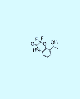 C[C@H](O)c1cccc2c1OC(F)(F)C(=O)N2